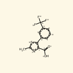 Cc1nc(C(=O)O)c(-c2cccc(C(F)(F)F)c2)s1